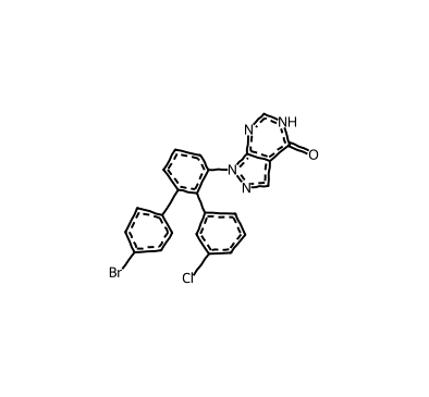 O=c1[nH]cnc2c1cnn2-c1cccc(-c2ccc(Br)cc2)c1-c1cccc(Cl)c1